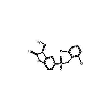 N/N=C1\C(=O)Nc2ccc(S(=O)(=O)Cc3c(Cl)cccc3Cl)cc21